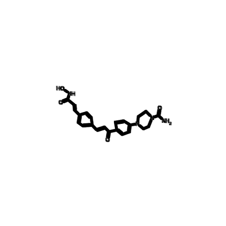 NC(=O)N1CCN(c2ccc(C(=O)C=Cc3ccc(C=CC(=O)NO)cc3)cc2)CC1